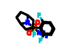 NS(=O)(=O)N1C2CCC1CC(F)(c1c(F)cccc1F)C2